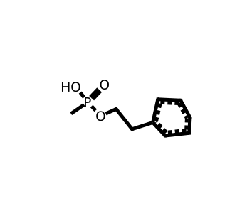 CP(=O)(O)OCCc1ccccc1